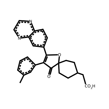 Cc1cccc(C2=C(c3ccc4nccnc4c3)OC3(CCC(CC(=O)O)CC3)C2=O)c1